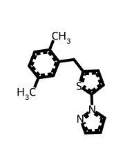 Cc1ccc(C)c(Cc2ccc(-n3cccn3)s2)c1